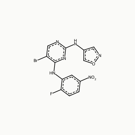 O=[N+]([O-])c1ccc(F)c(Nc2nc(Nc3cnoc3)ncc2Br)c1